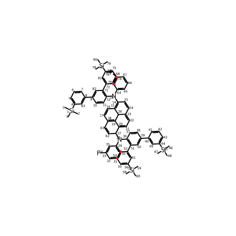 C[Si](C)(C)c1cccc(-c2ccc(N(C3=C4C=CC5=C6C(=CC=C(C=C3)C46)C(N(c3cccc(F)c3)c3ccc(-c4cccc([Si](C)(C)C)c4)cc3-c3cccc([Si](C)(C)C)c3)C=C5)c3cccc(F)c3)c(-c3cccc([Si](C)(C)C)c3)c2)c1